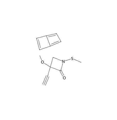 C#CC1(OC)CN(SC)C1=O.c1cc2ccc1-2